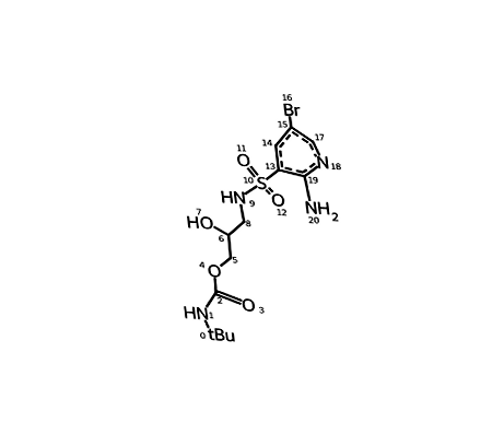 CC(C)(C)NC(=O)OCC(O)CNS(=O)(=O)c1cc(Br)cnc1N